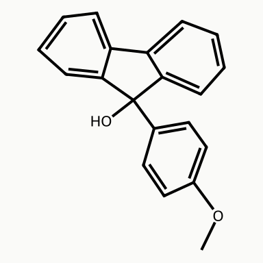 COc1ccc(C2(O)c3ccccc3-c3ccccc32)cc1